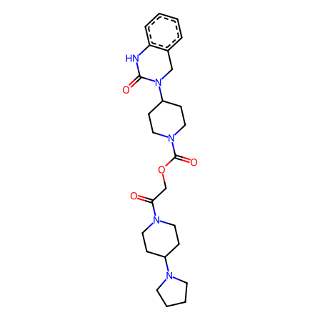 O=C(COC(=O)N1CCC(N2Cc3ccccc3NC2=O)CC1)N1CCC(N2CCCC2)CC1